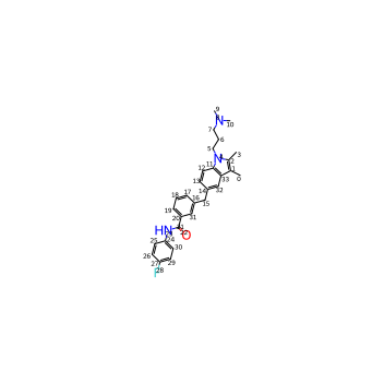 Cc1c(C)n(CCCN(C)C)c2ccc(Cc3cccc(C(=O)Nc4ccc(F)cc4)c3)cc12